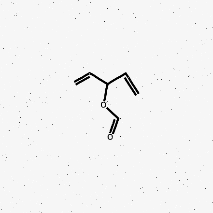 C=CC(C=C)O[C]=O